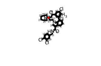 CCc1cccc2c(C(=O)NCc3ccc(Cl)c(Cl)c3)cn(CCCN3C4CCC3CN(CC(=O)c3cc(Cl)cc(Cl)c3)C4)c12